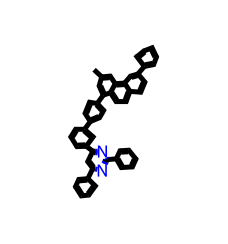 Cc1cc(-c2ccc(-c3cccc(-c4cc(-c5ccccc5)nc(-c5ccccc5)n4)c3)cc2)c2ccc3ccc(-c4ccccc4)cc3c2c1